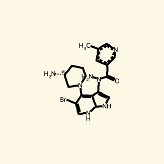 Cc1cncc(C(=O)N(N)C2=CNC3NC=C(Br)C(N4CCC[C@@H](N)C4)=C23)c1